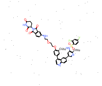 COc1cc(-c2ccnc3ccc(-c4cnc(OC)c(NS(=O)(=O)c5ccc(F)cc5F)c4)cc23)ccc1OCCOCCNc1ccc2c(c1)C(=O)N(C1CCC(=O)NC1=O)C2=O